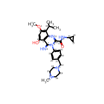 COc1cc(O)c(C(=N)N(C(=N)C(=O)NC2CC2)c2ccc(CN3CCN(C)CC3)cc2)cc1C(C)C